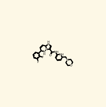 O=C(NC1=CC=CC(CN2CCOCC2)N1)C1=CNC2C=CC(c3cccc(F)c3F)NN12